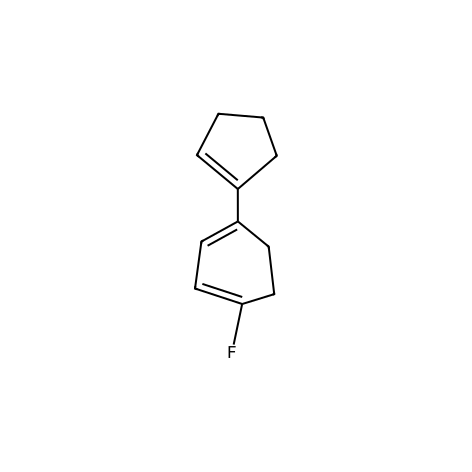 FC1=CC=C(C2=CCCC2)CC1